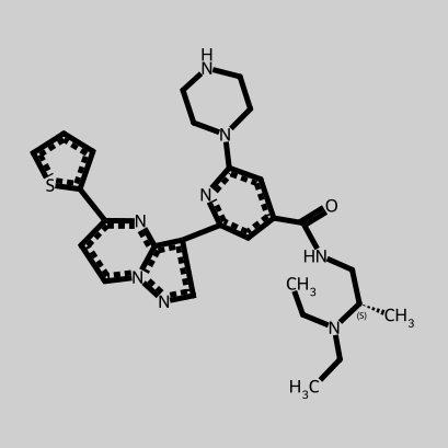 CCN(CC)[C@@H](C)CNC(=O)c1cc(-c2cnn3ccc(-c4cccs4)nc23)nc(N2CCNCC2)c1